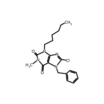 CCCCCCn1c(=O)n(C)c(=O)c2c1nc(Cl)n2Cc1ccccc1